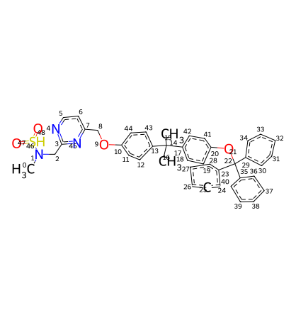 CN(Cc1nccc(COc2ccc(C(C)(C)c3ccc(OC(c4ccccc4)(c4ccccc4)c4ccccc4)cc3)cc2)n1)[SH](=O)=O